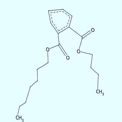 CCCCCCCOC(=O)c1ccccc1C(=O)OCCCC